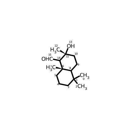 CC1(C)CCC[C@@]2(C)C1CC[C@@](C)(O)C2C=O